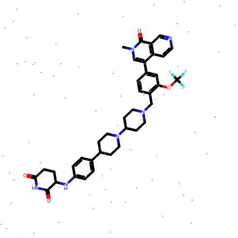 Cn1cc(-c2ccc(CN3CCC(N4CCC(c5ccc(NC6CCC(=O)NC6=O)cc5)CC4)CC3)c(OC(F)(F)F)c2)c2ccncc2c1=O